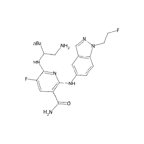 CCCCC(CN)Nc1nc(Nc2ccc3c(cnn3CCF)c2)c(C(N)=O)cc1F